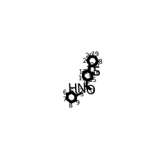 O=C(NCc1ccccc1)c1ccc2c(c1)sc1ccccc12